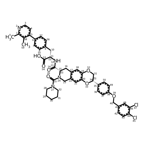 Cc1nccc(-c2ccc(C[C@H](NC(=O)[C@@H]3Cc4cc5c(cc4CN3C(=O)N3CCCCC3)O[C@@H](c3ccc(OCc4ccc(Cl)c(Cl)c4)cc3)CO5)C(=O)O)cc2)c1C